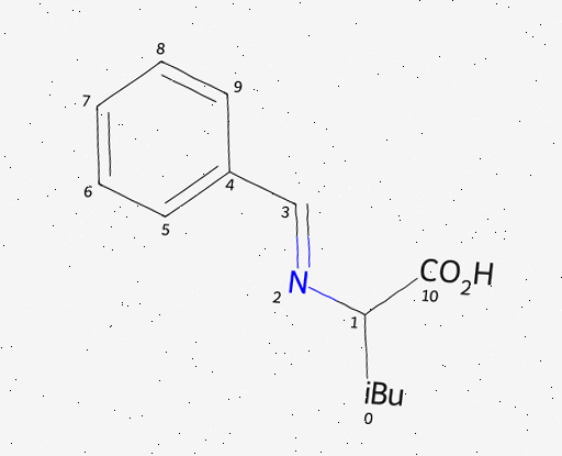 CCC(C)C(/N=C/c1ccccc1)C(=O)O